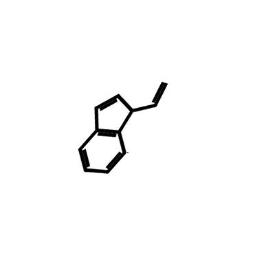 C=CC1C=Cc2ccc[c]c21